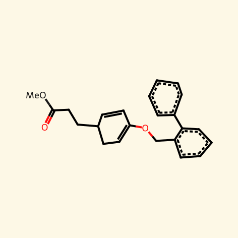 COC(=O)CCC1C=CC(OCc2ccccc2-c2ccccc2)=CC1